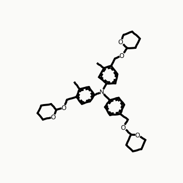 Cc1cc(N(c2ccc(COC3CCCCO3)cc2)c2ccc(COC3CCCCO3)c(C)c2)ccc1COC1CCCCO1